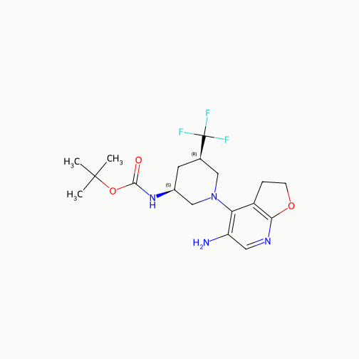 CC(C)(C)OC(=O)N[C@H]1C[C@@H](C(F)(F)F)CN(c2c(N)cnc3c2CCO3)C1